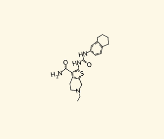 CCN1CCc2c(sc(NC(=O)Nc3ccc4c(c3)CCCC4)c2C(N)=O)C1